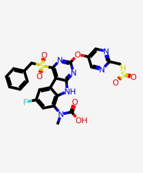 CN(C(=O)O)c1cc(F)cc2c1[nH]c1nc(Oc3cnc(C[SH](=O)=O)nc3)nc(S(=O)(=O)Cc3ccccc3)c12